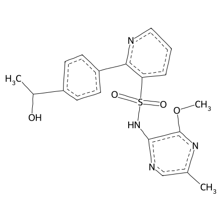 COc1nc(C)cnc1NS(=O)(=O)c1cccnc1-c1ccc(C(C)O)cc1